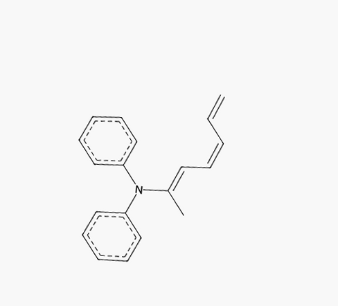 C=C/C=C\C=C(/C)N(c1ccccc1)c1ccccc1